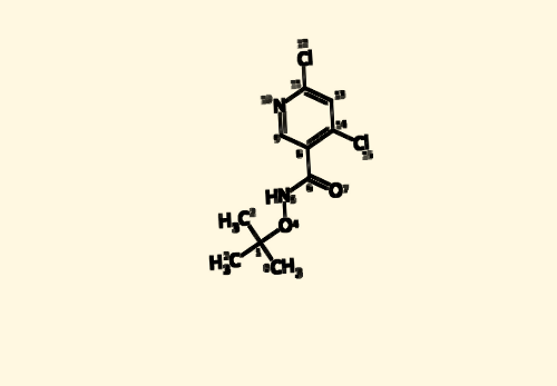 CC(C)(C)ONC(=O)c1cnc(Cl)cc1Cl